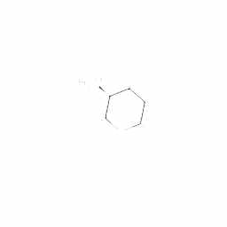 C[C@H]1CCCSC1